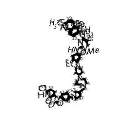 CCc1cc(Nc2ncc(Br)c(Nc3ccc4nc(C)ccc4c3P(C)(C)=O)n2)c(OC)cc1N1CCC(N2CCN(CC3CCN(c4ccc5c(c4)oc(=O)n5C4CCC(=O)NC4=O)C3)CC2)CC1